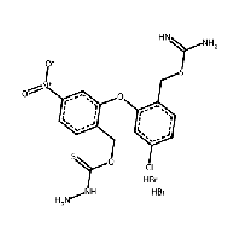 Br.Br.N=C(N)SCc1ccc(Cl)cc1Oc1cc([N+](=O)[O-])ccc1COC(=S)NN